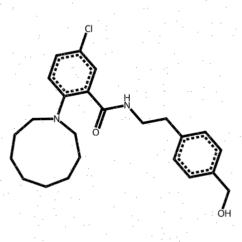 O=C(NCCc1ccc(CO)cc1)c1cc(Cl)ccc1N1CCCCCCCC1